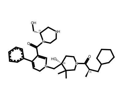 C[C@H](CC1CCCCC1)C(=O)N1CC[C@](O)(CN2C=C(C(=O)N3CCNC[C@H]3CO)C(c3ccccc3)=CC2)C(C)(C)C1